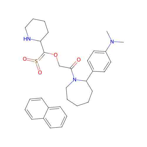 CN(C)c1ccc(C2CCCCCN2C(=O)COC(C2CCCCN2)=S(=O)=O)cc1.c1ccc2ccccc2c1